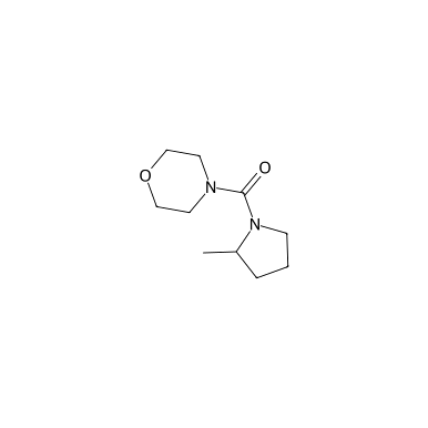 CC1CCCN1C(=O)N1CCOCC1